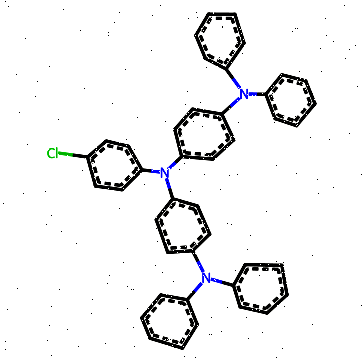 Clc1ccc(N(c2ccc(N(c3ccccc3)c3ccccc3)cc2)c2ccc(N(c3ccccc3)c3ccccc3)cc2)cc1